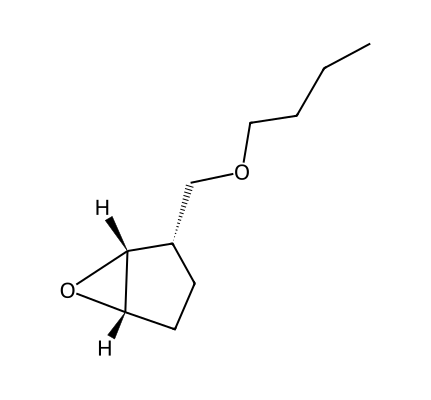 CCCCOC[C@@H]1CC[C@@H]2O[C@H]12